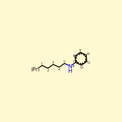 CC(C)CCCCCNc1ccccc1